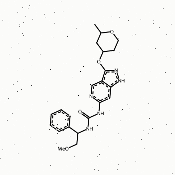 COCC(NC(=O)Nc1cc2[nH]nc(OC3CCOC(C)C3)c2cn1)c1ccccc1